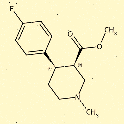 COC(=O)[C@H]1CN(C)CC[C@H]1c1ccc(F)cc1